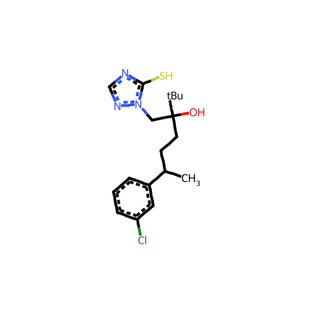 CC(CCC(O)(Cn1ncnc1S)C(C)(C)C)c1cccc(Cl)c1